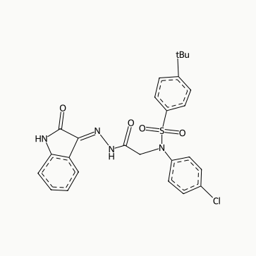 CC(C)(C)c1ccc(S(=O)(=O)N(CC(=O)N/N=C2/C(=O)Nc3ccccc32)c2ccc(Cl)cc2)cc1